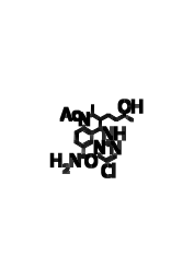 CC(=O)N1c2ccc(C(N)=O)cc2C(Nc2ncc(Cl)cn2)C(CC[C@H](C)O)C1C